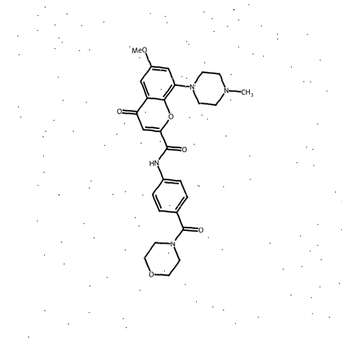 COc1cc(N2CCN(C)CC2)c2oc(C(=O)Nc3ccc(C(=O)N4CCOCC4)cc3)cc(=O)c2c1